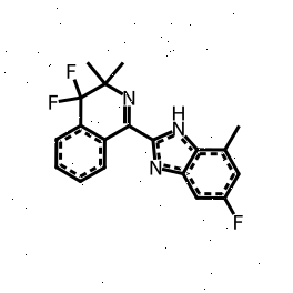 Cc1cc(F)cc2nc(C3=NC(C)(C)C(F)(F)c4ccccc43)[nH]c12